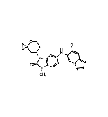 Cc1cc2ncnn2cc1Nc1ncc2c(n1)n([C@H]1CCOC3(CC3)C1)c(=O)n2C